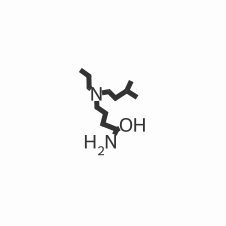 CCCN(CCCC(N)O)CCC(C)C